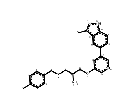 Cc1ccc(CSCC(N)COc2cncc(-c3ccc4[nH]nc(C)c4c3)c2)cc1